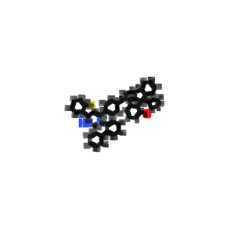 C1=CC2Oc3ccccc3C3(c4ccccc4-c4ccc(-c5ccc(C6=C7Sc8ccccc8C7NC(c7ccccc7-c7ccccc7)=N6)cc5)cc43)C2C=C1